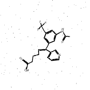 CC(=O)Nc1cc(C(=CCCCC(=O)O)c2cccnc2)cc(C(F)(F)F)c1